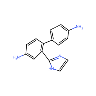 Nc1ccc(-c2ccc(N)cc2-c2ncc[nH]2)cc1